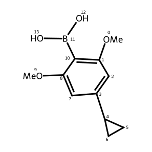 COc1cc(C2CC2)cc(OC)c1B(O)O